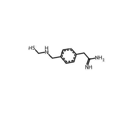 N=C(N)Cc1ccc(CNCS)cc1